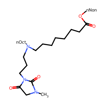 CCCCCCCCCOC(=O)CCCCCCCN(CCCCCCCC)CCCN1C(=O)CN(C)C1=O